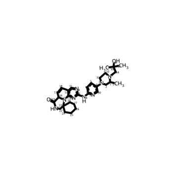 CC1CN(c2ccc(Nc3ncc4c(n3)N3C(C=C4)C(=O)NCC34CCCCC4)nc2)CCN1CC(C)(C)O